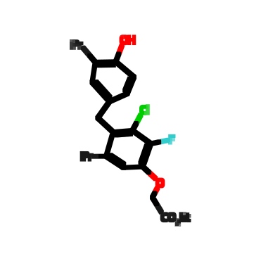 CCOC(=O)COc1cc(C(C)C)c(Cc2ccc(O)c(C(C)C)c2)c(Cl)c1F